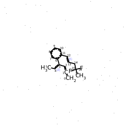 C=C=C/C(=C/C)c1ccccc1/C=C/CC(C)(F)F